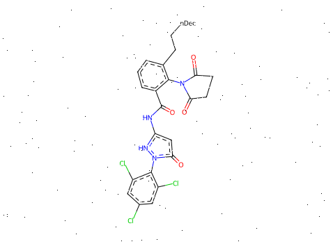 CCCCCCCCCCCCc1cccc(C(=O)Nc2cc(=O)n(-c3c(Cl)cc(Cl)cc3Cl)[nH]2)c1N1C(=O)CCC1=O